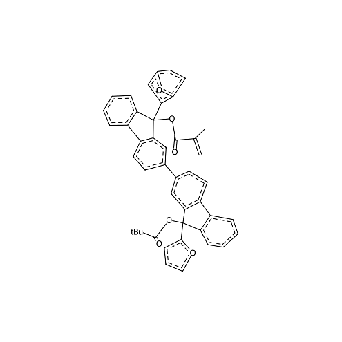 C=C(C)C(=O)OC1(c2cc3ccc2o3)c2ccccc2-c2ccc(-c3ccc4c(c3)C(OC(=O)C(C)(C)C)(c3ccco3)c3ccccc3-4)cc21